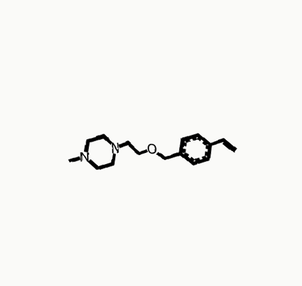 C=Cc1ccc(COCCN2CCN(C)CC2)cc1